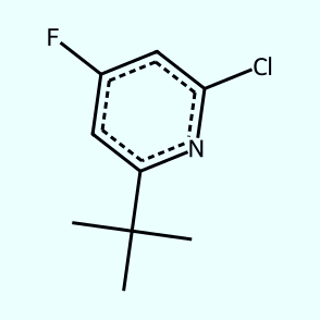 CC(C)(C)c1cc(F)cc(Cl)n1